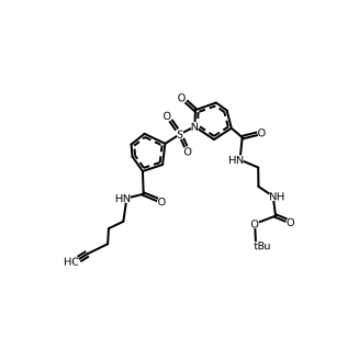 C#CCCCNC(=O)c1cccc(S(=O)(=O)n2cc(C(=O)NCCNC(=O)OC(C)(C)C)ccc2=O)c1